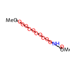 COCCOCCOCCOCCOCCOCCOCCOCCOCCOCCOCCNCCCCCC(=O)OC